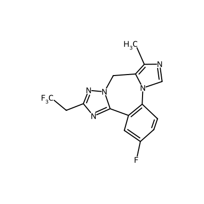 Cc1ncn2c1Cn1nc(CC(F)(F)F)nc1-c1cc(F)ccc1-2